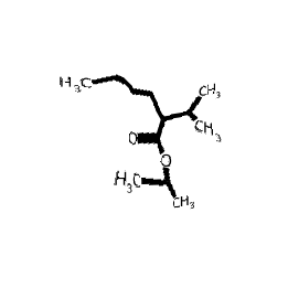 CCCCC(C(=O)OC(C)C)C(C)C